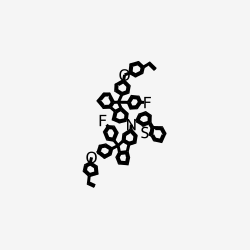 C=Cc1ccc(Oc2ccc(C3(c4ccc(F)cc4)c4ccccc4-c4ccc(N(c5ccc6c(c5)C(c5ccc(F)cc5)(c5ccc(Oc7ccc(C=C)cc7)cc5)c5ccccc5-6)c5cccc6c5sc5ccccc56)cc43)cc2)cc1